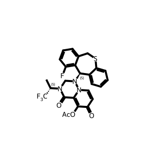 CC(=O)Oc1c2n(ccc1=O)N([C@@H]1c3ccccc3SCc3cccc(F)c31)CN([C@@H](C)C(F)(F)F)C2=O